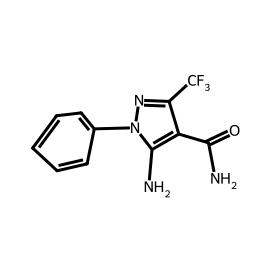 NC(=O)c1c(C(F)(F)F)nn(-c2ccccc2)c1N